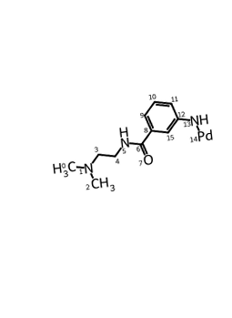 CN(C)CCNC(=O)c1cccc([NH][Pd])c1